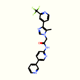 Cc1c(-c2ccnc(C(F)(F)F)c2)ncn1CC(=O)Nc1ccc(-c2cccnc2)cn1